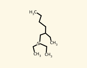 CCCCC(CC)C[Si](CC)CC